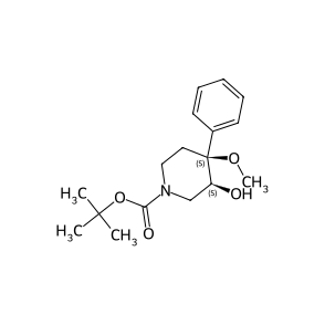 CO[C@]1(c2ccccc2)CCN(C(=O)OC(C)(C)C)C[C@@H]1O